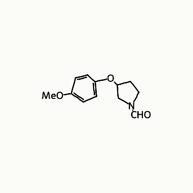 COc1ccc(OC2CCN(C=O)C2)cc1